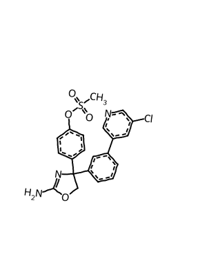 CS(=O)(=O)Oc1ccc(C2(c3cccc(-c4cncc(Cl)c4)c3)COC(N)=N2)cc1